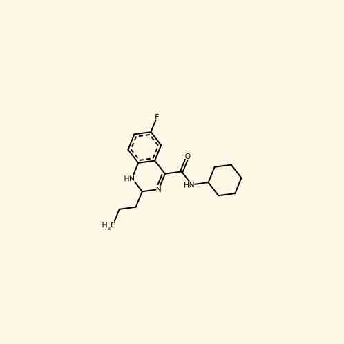 CCCC1N=C(C(=O)NC2CCCCC2)c2cc(F)ccc2N1